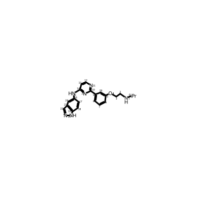 CC(C)NCCOc1cccc(-c2nccc(Nc3ccc4[nH]ncc4c3)n2)c1